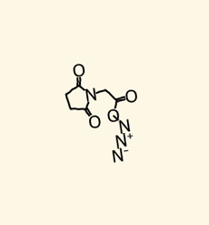 [N-]=[N+]=NOC(=O)CN1C(=O)CCC1=O